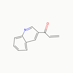 C=CC(=O)c1cnc2ccccc2c1